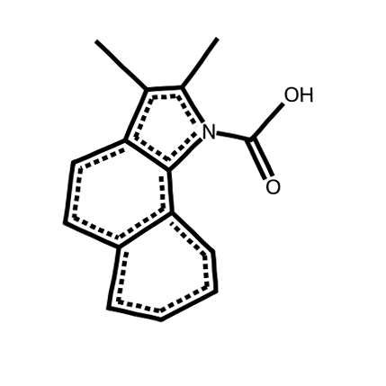 Cc1c(C)n(C(=O)O)c2c1ccc1ccccc12